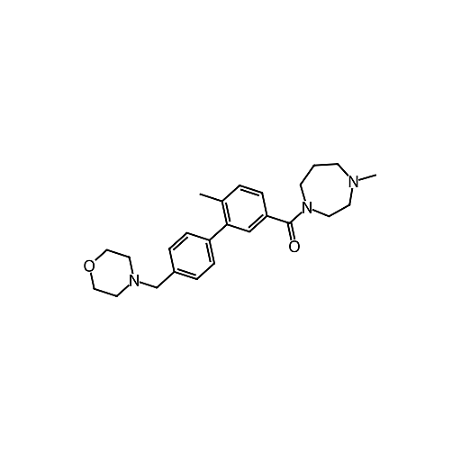 Cc1ccc(C(=O)N2CCCN(C)CC2)cc1-c1ccc(CN2CCOCC2)cc1